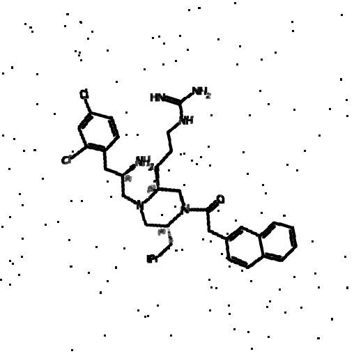 CC(C)C[C@@H]1CN(C[C@H](N)Cc2ccc(Cl)cc2Cl)[C@@H](CCCNC(=N)N)CN1C(=O)Cc1ccc2ccccc2c1